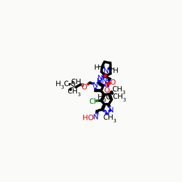 Cn1nc2ccc(-c3cn(COCC[Si](C)(C)C)c4nc(N5[C@@H]6CC[C@H]5C[C@@H](NC(=O)OC(C)(C)C)C6)cnc34)c(Cl)c2c1/C=N/O